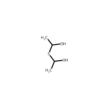 CC(O)SC(C)O